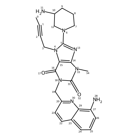 CC#CCn1c(N2CCCC(N)C2)nc2c1c(=O)n(Cc1ccc3cccc(N)c3n1)c(=O)n2C